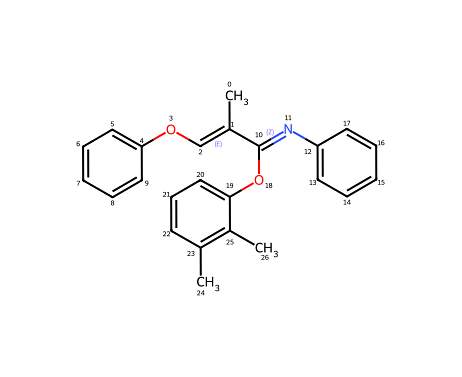 CC(=C\Oc1ccccc1)/C(=N/c1ccccc1)Oc1cccc(C)c1C